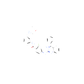 Cc1ccc(CN2CCOCC2)cc1NC(=O)c1ccc(NC2=NC3=CC=CCC3C(c3ccccc3)=N2)cc1F